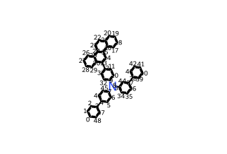 c1ccc(-c2ccc(N(c3ccc(-c4cc5c6ccccc6ccc5c5ccccc45)cc3)c3cccc(-c4ccccc4)c3)cc2)cc1